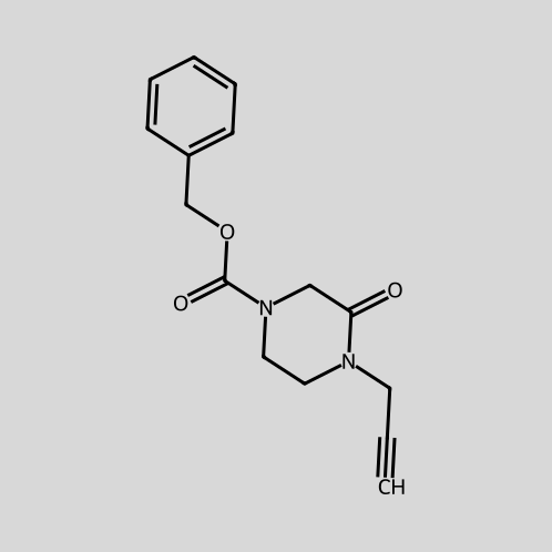 C#CCN1CCN(C(=O)OCc2ccccc2)CC1=O